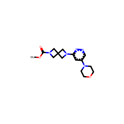 CC(C)(C)OC(=O)N1CC2(C1)CN(c1cc(N3CCOCC3)cnn1)C2